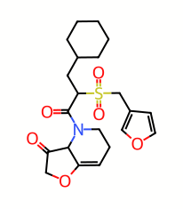 O=C1COC2=CCCN(C(=O)C(CC3CCCCC3)S(=O)(=O)Cc3ccoc3)C12